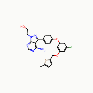 Cc1ccc(COc2cc(F)cc(Oc3ccc(-c4nn(CCO)c5ncnc(N)c45)cc3)c2)s1